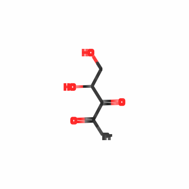 CC(C)C(=O)C(=O)C(O)CO